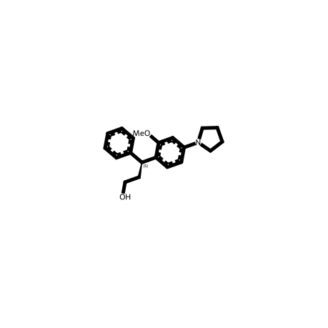 COc1cc(N2CCCC2)ccc1[C@@H](CCO)c1ccccc1